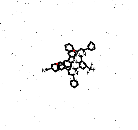 N#Cc1ccc(-c2ccc3c(c2)c2ccccc2n3-c2c(-c3nc(-c4ccccc4)cc(-c4ccccc4)n3)cc(C(F)(F)F)cc2-c2nc(-c3ccccc3)cc(-c3ccccc3)n2)cc1